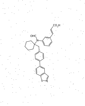 O=CN(c1cccc(/C=C/C(=O)O)c1)C1(Cc2ccc(-c3ccc4sncc4c3)cc2)CCCCC1